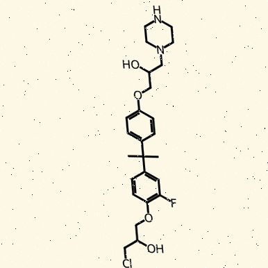 CC(C)(c1ccc(OCC(O)CN2CCNCC2)cc1)c1ccc(OCC(O)CCl)c(F)c1